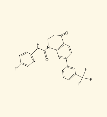 O=C1CCN(C(=O)Nc2ccc(F)cn2)c2nc(-c3cccc(C(F)(F)F)c3)ccc21